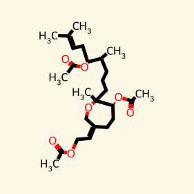 CC(=O)OCC=C1CC[C@@H](OC(C)=O)C(C)(CCCC(C)C(CC=C(C)C)OC(C)=O)OC1